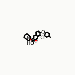 CC1CCC(Oc2ccc3cc(CN4C5CCCC4CC(C(=O)O)C5)ccc3c2Cl)CC1